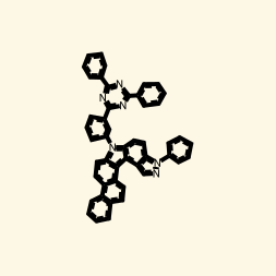 c1ccc(-c2nc(-c3ccccc3)nc(-c3cccc(-n4c5ccc6c7ccccc7ccc6c5c5c6cnn(-c7ccccc7)c6ccc54)c3)n2)cc1